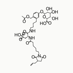 C=CCC1CC(=O)N(CCCCCC(=O)N[C@@H](CS(=O)(=O)O)C(=O)NCCCCc2cc(O[C@@H]3O[C@H](C(=O)O)[C@@H](O)[C@H](O)[C@H]3O)ccc2COC(C)=O)C1=O